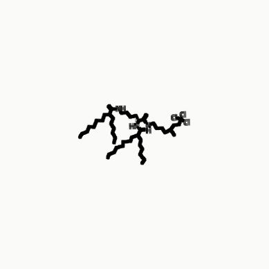 C=C(NCCCC[C@H](NC(=C)C(CCCCCC)CCCCCCCC)C(=C)NCCCCC(C)CCC(Cl)(Cl)Cl)C(CCCCCC)CCCCCCCC